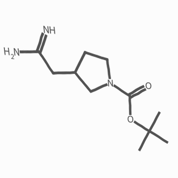 CC(C)(C)OC(=O)N1CCC(CC(=N)N)C1